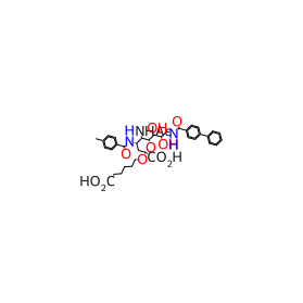 CC(=O)N[C@H]1[C@H]([C@H](O)[C@H](O)CNC(=O)c2ccc(-c3ccccc3)cc2)O[C@@](OCCCCCC(=O)O)(C(=O)O)C[C@@H]1NC(=O)c1ccc(C)cc1